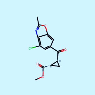 COC(=O)[C@H]1C[C@@H]1C(=O)c1cc(Cl)c2nc(C)oc2c1